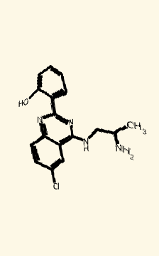 CC(N)CNc1nc(-c2ccccc2O)nc2ccc(Cl)cc12